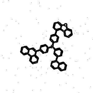 c1cc(-c2cccc3ccccc23)cc(N(c2ccc(-c3cc4ccccc4c4ccccc34)cc2)c2ccc(-c3cccc4oc5ccccc5c34)cc2)c1